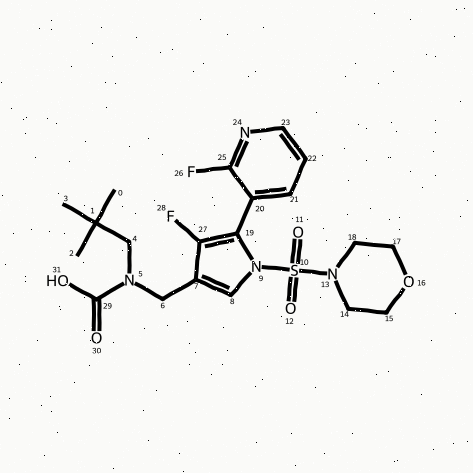 CC(C)(C)CN(Cc1cn(S(=O)(=O)N2CCOCC2)c(-c2cccnc2F)c1F)C(=O)O